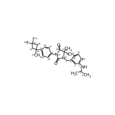 CC(C)Nc1cc(CN2C(=O)N(c3ccc(C4(C)CC(F)(F)C4)cc3)C(=O)C2(C)C)ccn1